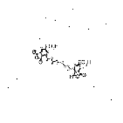 O=C(O)c1cc(CCCCCCCCCc2cc(C(=O)O)cc3c2C(=O)OC3=O)c2c(c1)C(=O)OC2=O